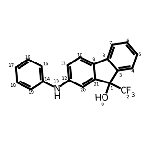 OC1(C(F)(F)F)c2ccccc2-c2ccc(Nc3ccccc3)cc21